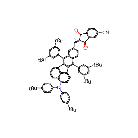 CC(C)(C)c1ccc(N(c2ccc(C(C)(C)C)cc2)c2ccc3c4c(cccc24)-c2c-3c(-c3cc(C(C)(C)C)cc(C(C)(C)C)c3)c3ccc(/C=C4/C(=O)c5ccc(C#N)cc5C4=O)cc3c2-c2cc(C(C)(C)C)cc(C(C)(C)C)c2)cc1